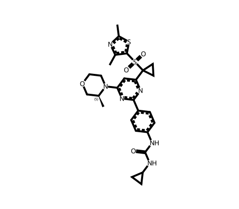 Cc1nc(C)c(S(=O)(=O)C2(c3cc(N4CCOC[C@@H]4C)nc(-c4ccc(NC(=O)NC5CC5)cc4)n3)CC2)s1